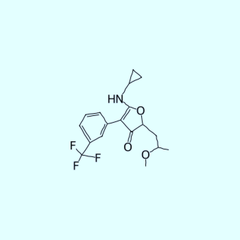 COC(C)CC1OC(NC2CC2)=C(c2cccc(C(F)(F)F)c2)C1=O